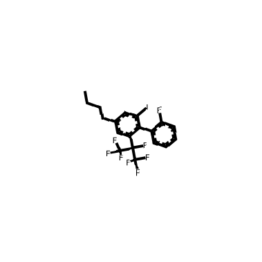 CCCCc1[c]c(I)c(-c2ccccc2F)c(C(F)(C(F)(F)F)C(F)(F)F)c1